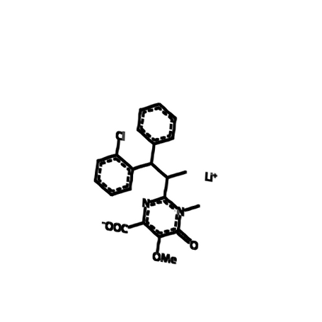 COc1c(C(=O)[O-])nc(C(C)C(c2ccccc2)c2ccccc2Cl)n(C)c1=O.[Li+]